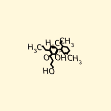 C=C(C)C1CCC(C)=C[C@H]1c1ccc(CCC)c(C(=O)CCCO)c1O